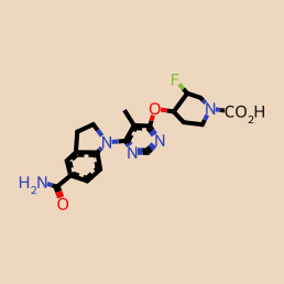 Cc1c(OC2CCN(C(=O)O)CC2F)ncnc1N1CCc2cc(C(N)=O)ccc21